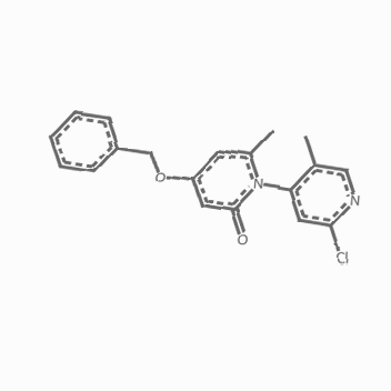 Cc1cnc(Cl)cc1-n1c(C)cc(OCc2ccccc2)cc1=O